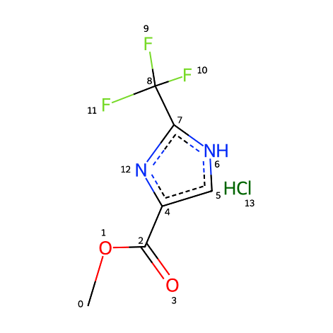 COC(=O)c1c[nH]c(C(F)(F)F)n1.Cl